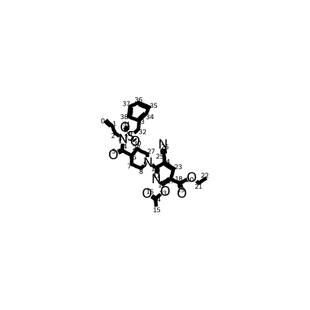 C=CCN(C(=O)C1CCN(c2nc(OC(C)=O)c(C(=O)OCC)cc2C#N)CC1)S(=O)(=O)Cc1ccccc1